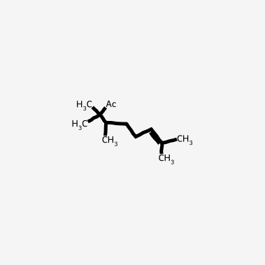 CC(=O)C(C)(C)C(C)CCC=C(C)C